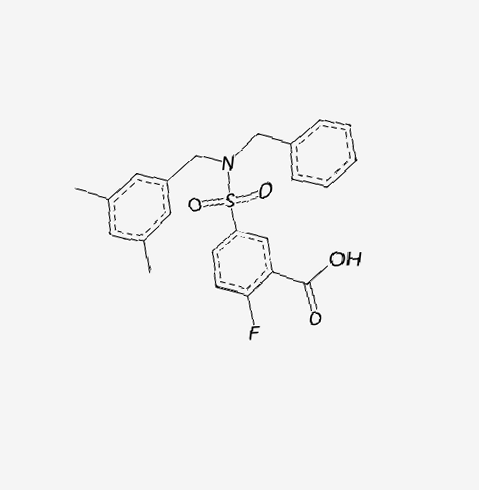 Cc1cc(C)cc(CN(Cc2ccccc2)S(=O)(=O)c2ccc(F)c(C(=O)O)c2)c1